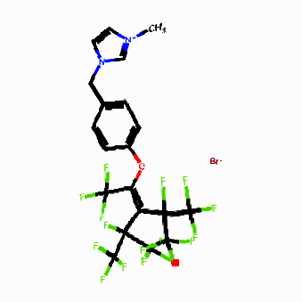 C[n+]1ccn(Cc2ccc(OC(=C(C(F)(C(F)(F)F)C(F)(F)F)C(F)(C(F)(F)F)C(F)(F)F)C(F)(F)F)cc2)c1.[Br-]